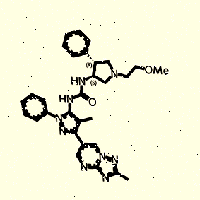 COCCN1C[C@@H](NC(=O)Nc2c(C)c(-c3cnc4nc(C)nn4c3)nn2-c2ccccc2)[C@H](c2ccccc2)C1